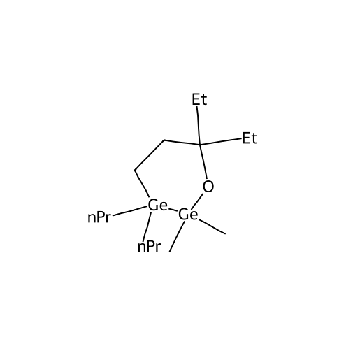 CC[CH2][Ge]1([CH2]CC)[CH2]CC(CC)(CC)[O][Ge]1([CH3])[CH3]